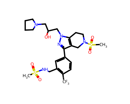 CS(=O)(=O)NCc1cc(-c2nn(CC(O)CN3CCCC3)c3c2CN(S(C)(=O)=O)CC3)ccc1C(F)(F)F